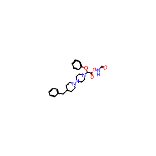 O=CNOC(=O)C(Oc1ccccc1)N1CCN(N2CCC(Cc3ccccc3)CC2)CC1